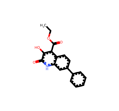 CCOC(=O)c1c(O)c(=O)[nH]c2cc(-c3ccccc3)ccc12